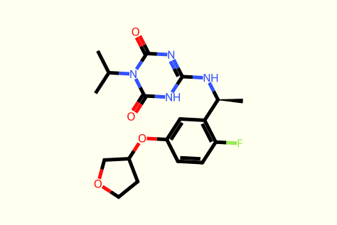 CC(C)n1c(=O)nc(N[C@@H](C)c2cc(OC3CCOC3)ccc2F)[nH]c1=O